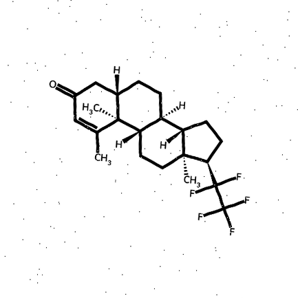 CC1=CC(=O)C[C@@H]2CC[C@H]3[C@@H]4CC[C@@H](C(F)(F)C(F)(F)F)[C@@]4(C)CC[C@@H]3[C@@]12C